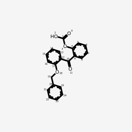 O=C(O)Oc1ccccc1C(=O)c1ccccc1OCc1ccccc1